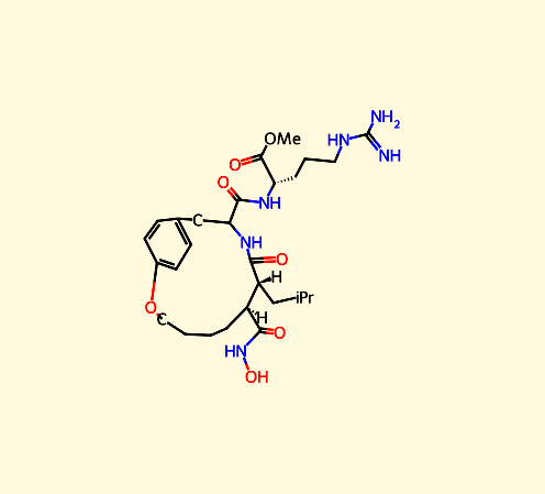 COC(=O)[C@H](CCCNC(=N)N)NC(=O)C1Cc2ccc(cc2)OCCCC[C@H](C(=O)NO)[C@@H](CC(C)C)C(=O)N1